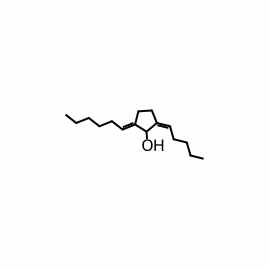 CCCCC=C1CCC(=CCCCCC)C1O